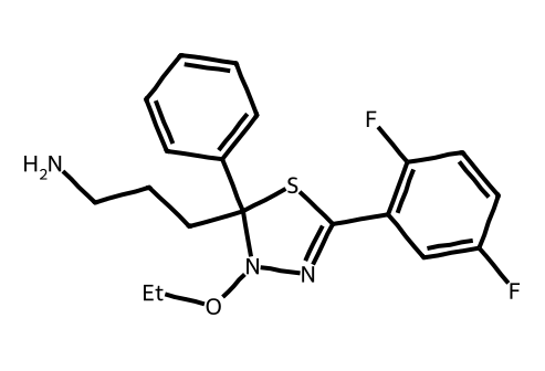 CCON1N=C(c2cc(F)ccc2F)SC1(CCCN)c1ccccc1